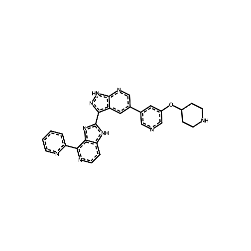 c1ccc(-c2nccc3[nH]c(-c4n[nH]c5ncc(-c6cncc(OC7CCNCC7)c6)cc45)nc23)nc1